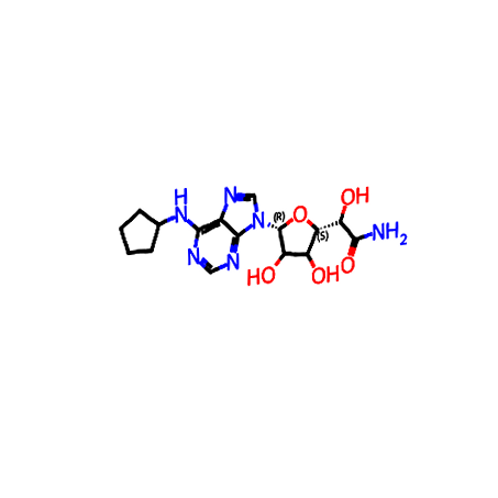 NC(=O)C(O)[C@H]1O[C@@H](n2cnc3c(NC4CCCC4)ncnc32)C(O)C1O